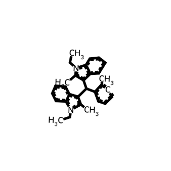 CCn1c(C)c(C(c2ccccc2C)c2c(C)n(CC)c3ccccc23)c2ccccc21